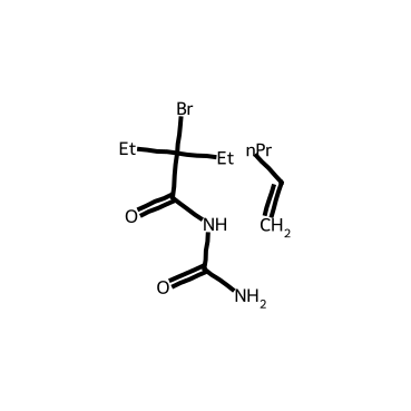 C=CCCC.CCC(Br)(CC)C(=O)NC(N)=O